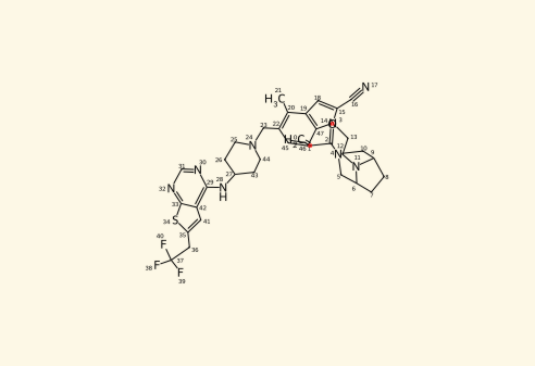 C=CC(=O)N1CC2CCC(C1)N2CCn1c(C#N)cc2c(C)c(CN3CCC(Nc4ncnc5sc(CC(F)(F)F)cc45)CC3)ccc21